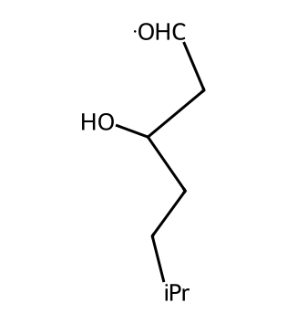 CC(C)CCC(O)C[C]=O